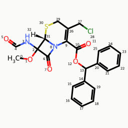 COC1(NC=O)C(=O)N2C(C(=O)OC(c3ccccc3)c3ccccc3)=C(CCl)CS[C@H]21